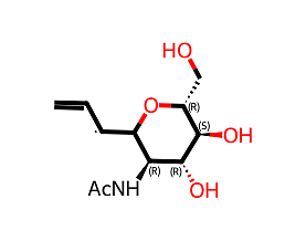 C=C[CH]C1O[C@H](CO)[C@@H](O)[C@H](O)[C@H]1NC(C)=O